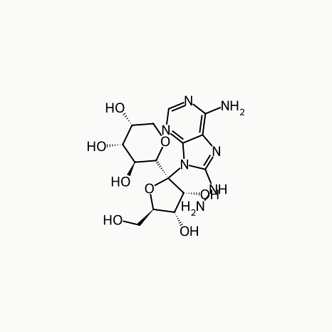 NNc1nc2c(N)ncnc2n1[C@]1(C2OC[C@@H](O)[C@@H](O)[C@@H]2O)O[C@H](CO)[C@@H](O)[C@H]1O